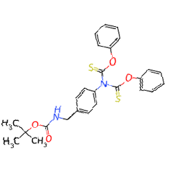 CC(C)(C)OC(=O)NCc1ccc(N(C(=S)Oc2ccccc2)C(=S)Oc2ccccc2)cc1